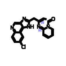 C/C=C(Cc1nc2cnc3ccc(Cl)cc3c2[nH]1)\N=c1\ccccn1C=O